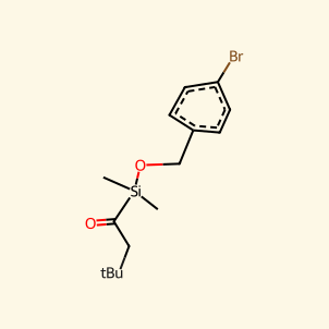 CC(C)(C)CC(=O)[Si](C)(C)OCc1ccc(Br)cc1